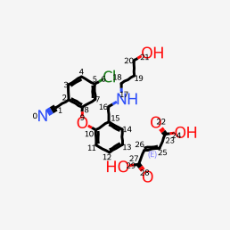 N#Cc1ccc(Cl)cc1Oc1ccccc1CNCCCO.O=C(O)/C=C/C(=O)O